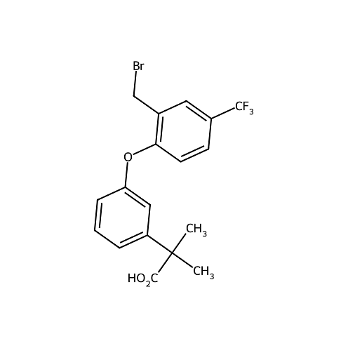 CC(C)(C(=O)O)c1cccc(Oc2ccc(C(F)(F)F)cc2CBr)c1